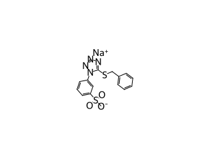 O=S(=O)([O-])c1cccc(-n2nnnc2SCc2ccccc2)c1.[Na+]